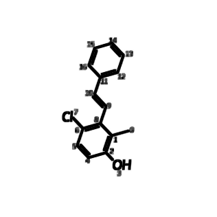 Cc1c(O)ccc(Cl)c1C=Cc1ccccc1